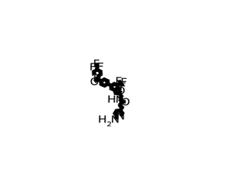 Nc1ccc(/C=C/C(=O)NCc2cc3cc(-c4ccc(C(=O)N5CCC(C(F)(F)F)CC5)cc4)cc(C(F)(F)F)c3o2)cn1